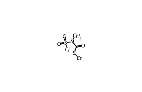 CCSC(=O)N(C)S(=O)(=O)Cl